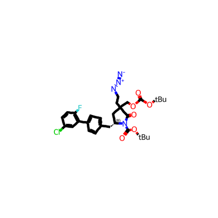 CC(C)(C)OC(=O)OCC1(CCN=[N+]=[N-])C[C@@H](Cc2ccc(-c3cc(Cl)ccc3F)cc2)N(C(=O)OC(C)(C)C)C1=O